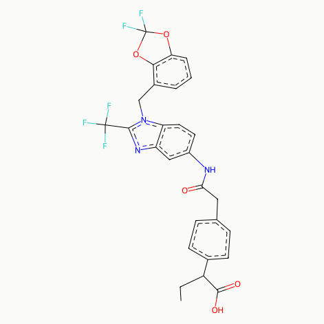 CCC(C(=O)O)c1ccc(CC(=O)Nc2ccc3c(c2)nc(C(F)(F)F)n3Cc2cccc3c2OC(F)(F)O3)cc1